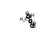 C[C@@H]1CC(=O)NN=C1c1ccc(N2CCCOC2=O)cc1